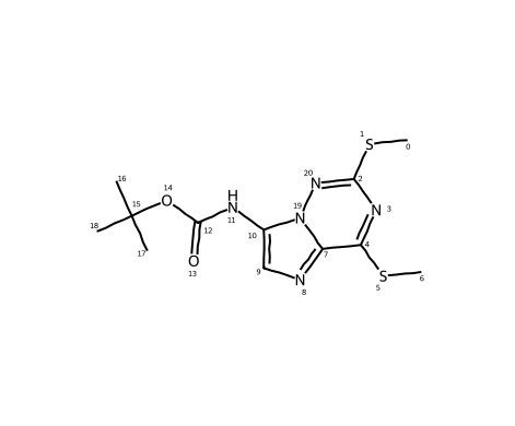 CSc1nc(SC)c2ncc(NC(=O)OC(C)(C)C)n2n1